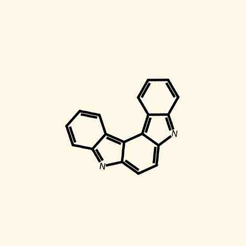 c1ccc2c(c1)=Nc1ccc3c(c1=2)=c1ccccc1=N3